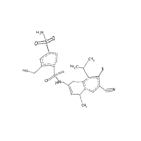 CC(C)c1c(F)c(C#N)cc2c1CC(NS(=O)(=O)c1ccc(S(N)(=O)=O)cc1CO)=CC2C